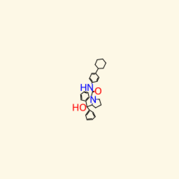 O=C(CN1CCCC1C(O)(c1ccccc1)c1ccccc1)Nc1ccc(C2CCCCC2)cc1